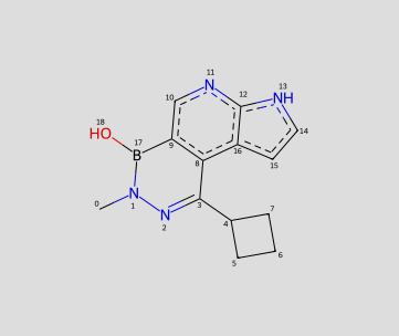 CN1N=C(C2CCC2)c2c(cnc3[nH]ccc23)B1O